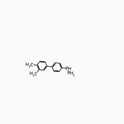 Cc1ccc(-c2ccc(PP)cc2)cc1C